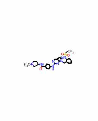 CCS(=O)(=O)Nc1ccccc1Cn1ccc2cnc(Nc3ccc(C(=O)NC4CCN(C)CC4)cc3)nc21